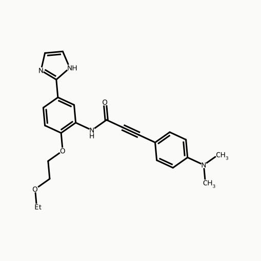 CCOCCOc1ccc(-c2ncc[nH]2)cc1NC(=O)C#Cc1ccc(N(C)C)cc1